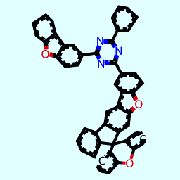 c1ccc(-c2nc(-c3ccc4oc5ccccc5c4c3)nc(-c3ccc4oc5cc6c(cc5c4c3)-c3ccccc3C63c4ccccc4Oc4ccccc43)n2)cc1